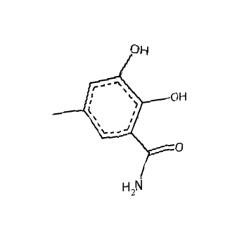 Cc1cc(O)c(O)c(C(N)=O)c1